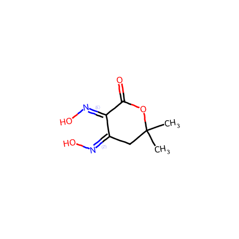 CC1(C)CC(=N/O)/C(=N\O)C(=O)O1